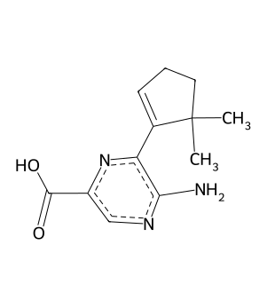 CC1(C)CCC=C1c1nc(C(=O)O)cnc1N